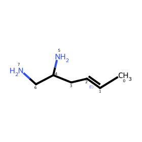 C/C=C/CC(N)CN